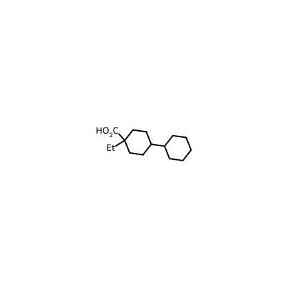 CCC1(C(=O)O)CCC(C2CCCCC2)CC1